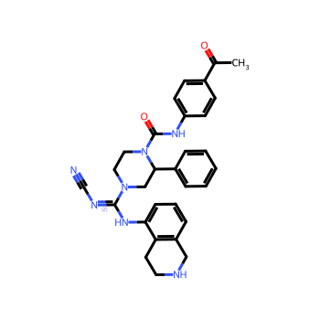 CC(=O)c1ccc(NC(=O)N2CCN(/C(=N\C#N)Nc3cccc4c3CCNC4)CC2c2ccccc2)cc1